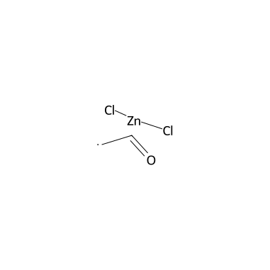 [CH2]C=O.[Cl][Zn][Cl]